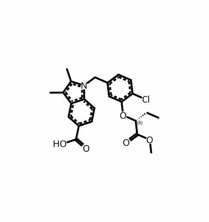 CC[C@@H](Oc1cc(Cn2c(C)c(C)c3cc(C(=O)O)ccc32)ccc1Cl)C(=O)OC